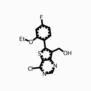 CCOc1cc(F)ccc1-c1sc2c(Cl)ncnc2c1CO